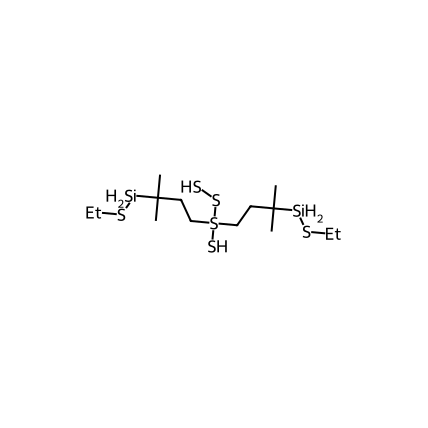 CCS[SiH2]C(C)(C)CCS(S)(CCC(C)(C)[SiH2]SCC)SS